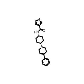 O=C(N[C@H]1CC[C@H](N2CC=C(c3ccccc3)CC2)CC1)c1ccsc1